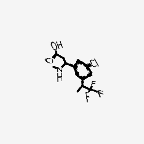 CNC(CC(=O)O)c1cc(Cl)cc(C(C)C(F)(F)F)c1